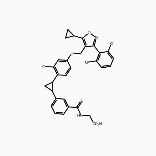 O=C(O)CNC(=O)c1cccc(C2CC2c2ccc(OCc3c(-c4c(Cl)cccc4Cl)noc3C3CC3)cc2Cl)c1